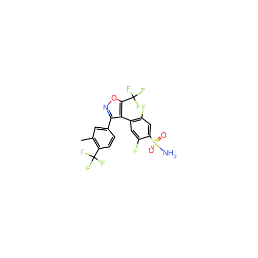 Cc1cc(-c2noc(C(F)(F)F)c2-c2cc(F)c(S(N)(=O)=O)cc2F)ccc1C(F)(F)F